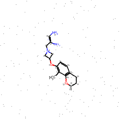 Cc1c(OC2CN(C/C(N)=C/N)C2)ccc2c1OBCC2